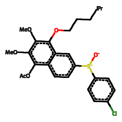 COc1c(OC)c(OC(C)=O)c2ccc([S+]([O-])c3ccc(Cl)cc3)cc2c1OCCCC(C)C